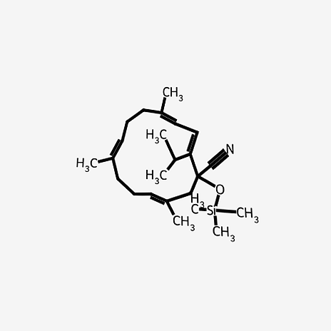 C/C1=C\C=C(/C(C)C)C(C#N)(O[Si](C)(C)C)C/C(C)=C/CC/C(C)=C/CC1